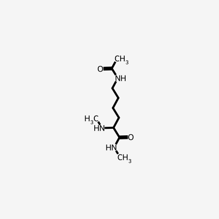 CNC(=O)C(CCCCNC(C)=O)NC